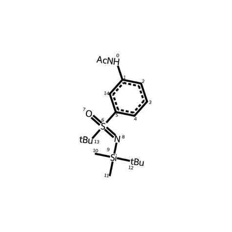 CC(=O)Nc1cccc(S(=O)(=N[Si](C)(C)C(C)(C)C)C(C)(C)C)c1